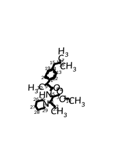 CCOC(=O)C(NC(=O)C(C)c1ccc(CC(C)C)cc1)C(CC)N1CCCCC1